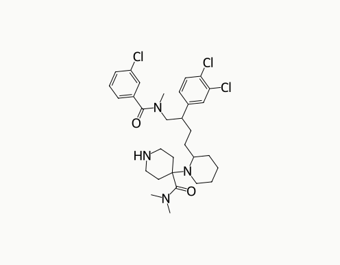 CN(C)C(=O)C1(N2CCCCC2CCC(CN(C)C(=O)c2cccc(Cl)c2)c2ccc(Cl)c(Cl)c2)CCNCC1